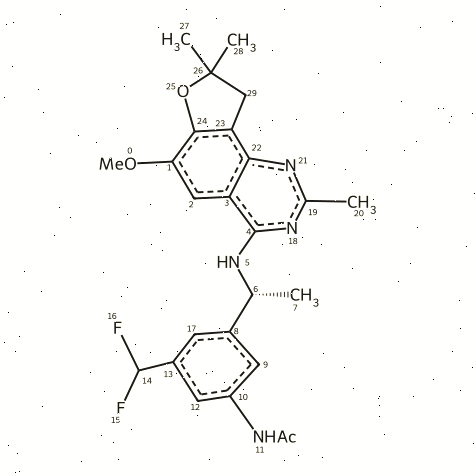 COc1cc2c(N[C@H](C)c3cc(NC(C)=O)cc(C(F)F)c3)nc(C)nc2c2c1OC(C)(C)C2